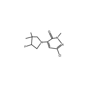 Cn1nc(Cl)cc(N2CC(F)C(C)(C)C2)c1=O